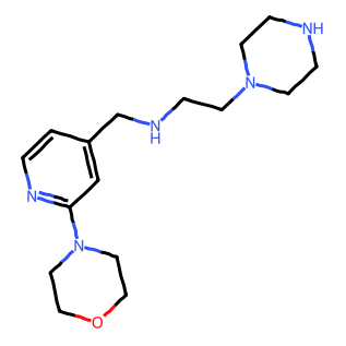 c1cc(CNCCN2CCNCC2)cc(N2CCOCC2)n1